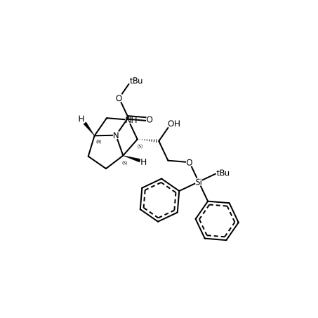 CC(C)(C)OC(=O)N1[C@@H]2CC[C@H]1[C@@H](C(O)CO[Si](c1ccccc1)(c1ccccc1)C(C)(C)C)NC2